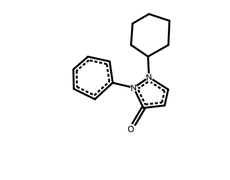 O=c1ccn(C2CCCCC2)n1-c1ccccc1